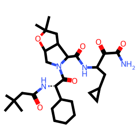 CC(C)(C)CC(=O)N[C@H](C(=O)N1CC2OC(C)(C)CC2C1C(=O)NC(CC1CC1)C(=O)C(N)=O)C1CCCCC1